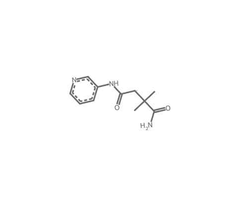 CC(C)([CH]C(=O)Nc1cccnc1)C(N)=O